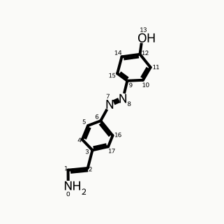 NC=Cc1ccc(N=Nc2ccc(O)cc2)cc1